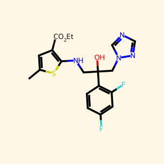 CCOC(=O)c1cc(C)sc1NCC(O)(Cn1cncn1)c1ccc(F)cc1F